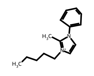 CCCCC[n+]1ccn(-c2ccccc2)c1C